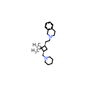 CC1(C)[C@@H](CCN2CCc3ccccc3C2)C[C@H]1CN1CCCCC1